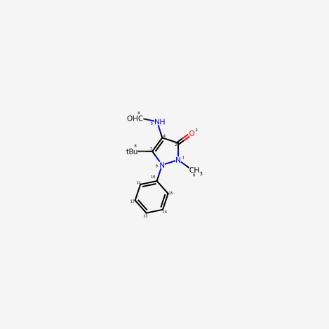 Cn1c(=O)c(NC=O)c(C(C)(C)C)n1-c1ccccc1